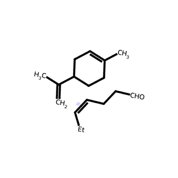 C=C(C)C1CC=C(C)CC1.CC/C=C\CCC=O